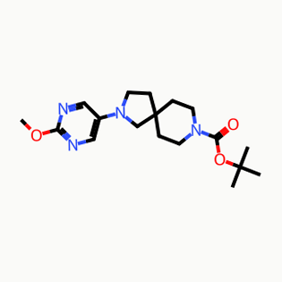 COc1ncc(N2CCC3(CCN(C(=O)OC(C)(C)C)CC3)C2)cn1